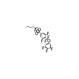 CCCCC12COC(c3cc(F)c(C(F)(F)Oc4cc(F)c(F)c(F)c4)c(F)c3)(OC1)OC2